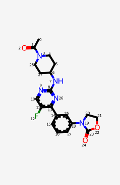 CC(=O)N1CCC(Nc2ncc(F)c(-c3cccc(N4CCOC4=O)c3)n2)CC1